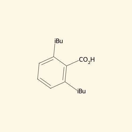 CCC(C)c1cccc(C(C)CC)c1C(=O)O